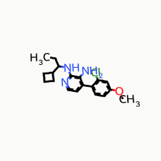 CCC(Nc1nccc(-c2ccc(OC)cc2Cl)c1N)C1CCC1